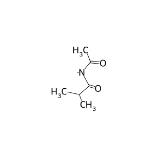 CC(=O)[N]C(=O)C(C)C